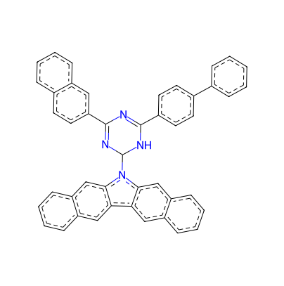 c1ccc(-c2ccc(C3=NC(c4ccc5ccccc5c4)=NC(n4c5cc6ccccc6cc5c5cc6ccccc6cc54)N3)cc2)cc1